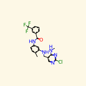 CNc1nc(Cl)ncc1CNc1cc(NC(=O)c2cccc(C(F)(F)F)c2)ccc1C